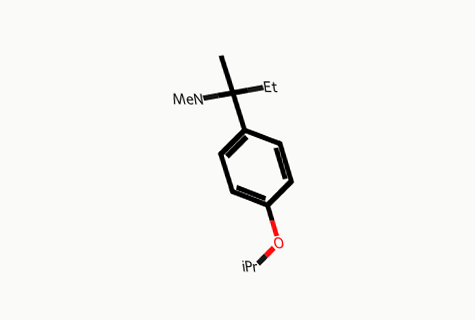 CCC(C)(NC)c1ccc(OC(C)C)cc1